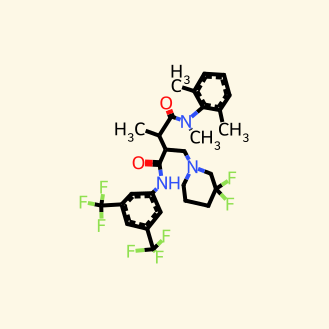 Cc1cccc(C)c1N(C)C(=O)C(C)C(CN1CCCC(F)(F)C1)C(=O)Nc1cc(C(F)(F)F)cc(C(F)(F)F)c1